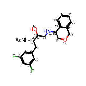 CC(=O)N[C@@H](Cc1cc(F)cc(F)c1)[C@@H](O)CNC1COCc2ccccc21